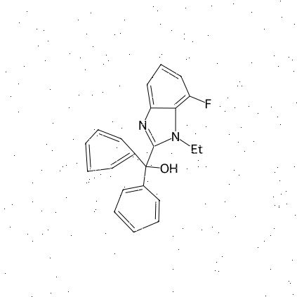 CCn1c(C(O)(c2ccccc2)c2ccccc2)nc2cccc(F)c21